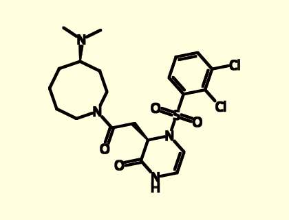 CN(C)[C@@H]1CCCCN(C(=O)C[C@@H]2C(=O)NC=CN2S(=O)(=O)c2cccc(Cl)c2Cl)CC1